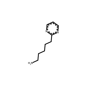 NCCCCCc1ncccn1